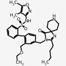 CCCCC1=NC2(CCNCC2)C(=O)N1Cc1ccc(-c2ccccc2S(=O)(=O)Nc2noc(C)c2C)c(COCC)c1